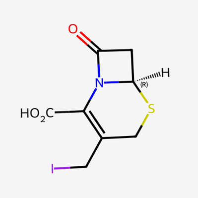 O=C(O)C1=C(CI)CS[C@@H]2CC(=O)N12